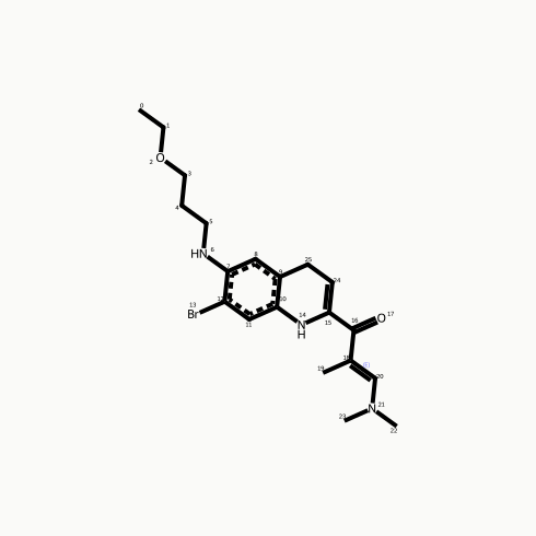 CCOCCCNc1cc2c(cc1Br)NC(C(=O)/C(C)=C/N(C)C)=CC2